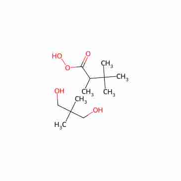 CC(C(=O)OO)C(C)(C)C.CC(C)(CO)CO